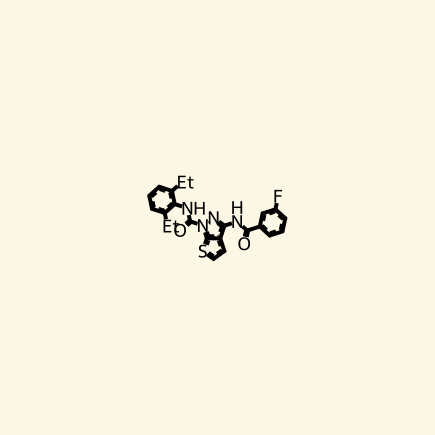 CCc1cccc(CC)c1NC(=O)n1nc(NC(=O)c2cccc(F)c2)c2ccsc21